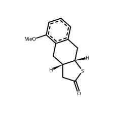 COc1cccc2c1C[C@H]1CC(=O)S[C@H]1C2